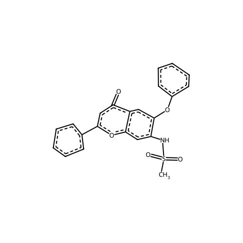 CS(=O)(=O)Nc1cc2oc(-c3ccccc3)cc(=O)c2cc1Oc1ccccc1